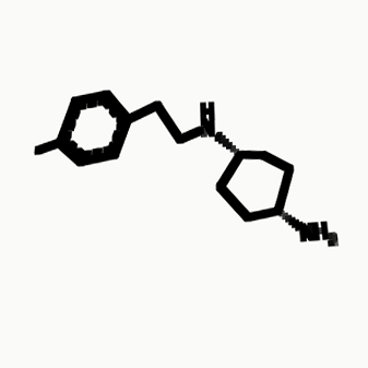 Cc1ccc(CCN[C@H]2CC[C@@H](N)CC2)cc1